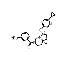 CC(C)(C)c1ccnc(C(=O)N2CC[C@@H]3CC[C@H](Oc4cnc(C5CC5)cn4)N3C2)c1